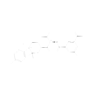 CC(C)[C@@H](NC(=O)c1cc(F)cc(C(=O)O)c1)C(=O)N1CC[C@](O)(c2ccc(Cl)cc2)C(C)(C)C1